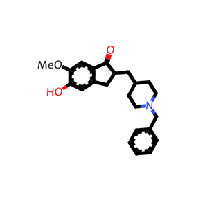 COc1cc2c(cc1O)CC(CC1CCN(Cc3ccccc3)CC1)C2=O